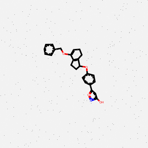 Oc1cc(-c2ccc(OC3CCC4=C3CCC=C4OCc3ccccc3)cc2)on1